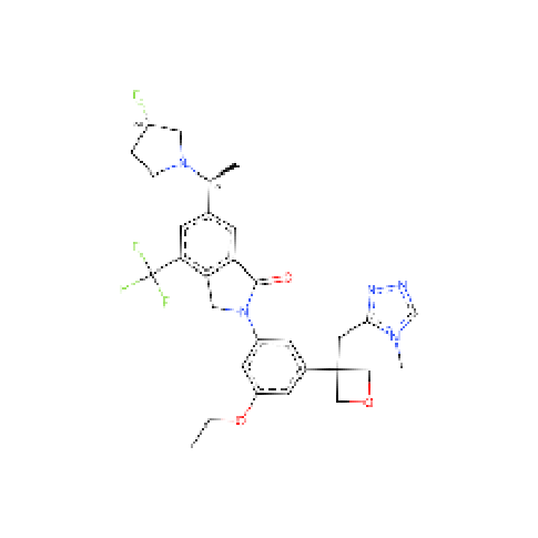 CCOc1cc(N2Cc3c(cc([C@H](C)N4CC[C@H](F)C4)cc3C(F)(F)F)C2=O)cc(C2(Cc3nncn3C)COC2)c1